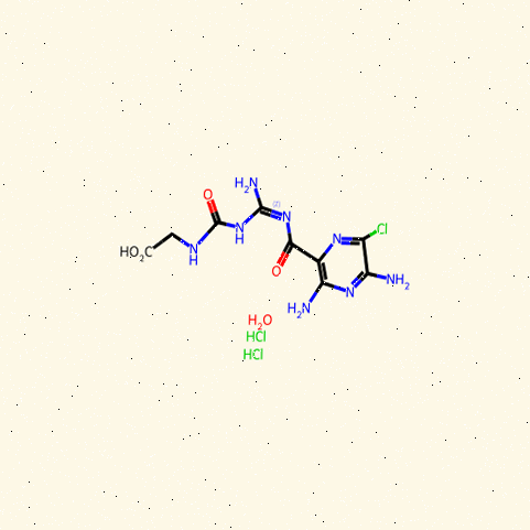 Cl.Cl.N/C(=N/C(=O)c1nc(Cl)c(N)nc1N)NC(=O)NCC(=O)O.O